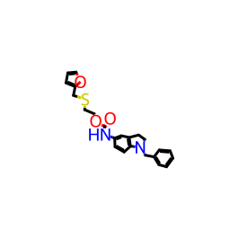 O=C(Nc1ccc2c(c1)CCN2Cc1ccccc1)OCCSCc1ccco1